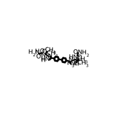 CC(C)(C)C(NC(=O)C(N)=O)c1nc(-c2ccc(-c3ccc(-c4c[nH]c(C(NC(=O)C(N)=O)C(C)(C)C)n4)cc3)cc2)c[nH]1